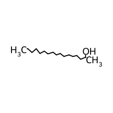 CCCCCCCCCCCCCCC[C@@H](C)O